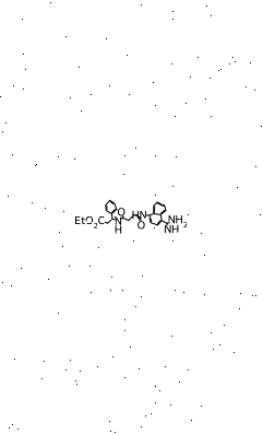 CCOC(=O)CC(NC(=O)CCC(=O)Nc1ccc(C(=N)N)c2ccccc12)c1ccccc1